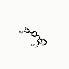 Cn1cc(-c2ccc(Cc3cc(C(=O)O)n4ncccc34)cc2)cn1